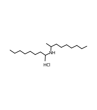 CCCCCCCC(C)NC(C)CCCCCCC.Cl